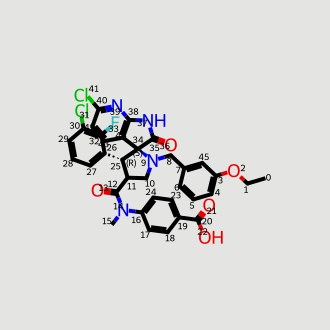 CCOc1cccc(CN2CC(C(=O)N(C)c3ccc(C(=O)O)cc3)[C@H](c3cccc(Cl)c3F)[C@]23C(=O)Nc2nc(Cl)ccc23)c1